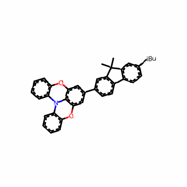 CCC(C)c1ccc2c(c1)C(C)(C)c1cc(-c3cc4c5c(c3)Oc3ccccc3N5c3ccccc3O4)ccc1-2